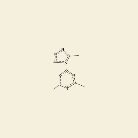 Cc1c[c]nc(C)n1.Cc1nn[c]s1